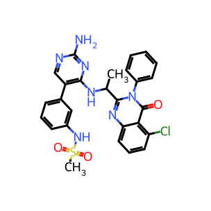 CC(Nc1nc(N)ncc1-c1cccc(NS(C)(=O)=O)c1)c1nc2cccc(Cl)c2c(=O)n1-c1ccccc1